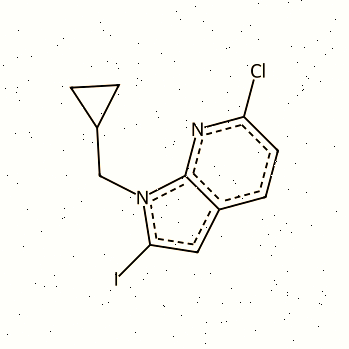 Clc1ccc2cc(I)n(CC3CC3)c2n1